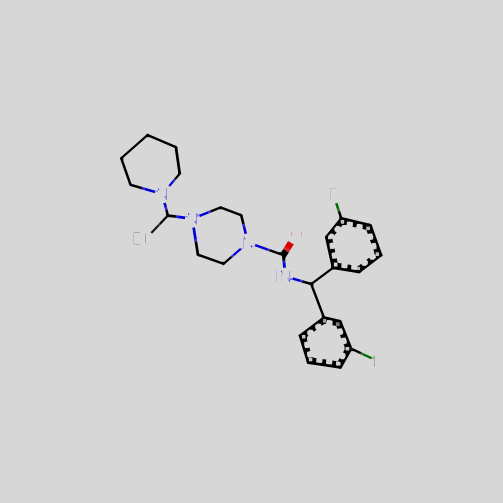 CCC(N1CCCCC1)N1CCN(C(=O)NC(c2cccc(F)c2)c2cccc(F)c2)CC1